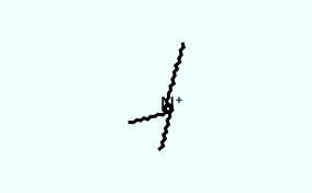 CCCCCCCCCCCCCCCCC[n+]1ccc(CCCCCCCCCC)c(CCCCCCCCCC)c1